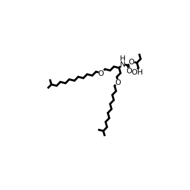 CCC(CO)OC(=O)NC(CCCOCCCCCCCCCCC(C)C)CCOCCCCCCCCCCC(C)C